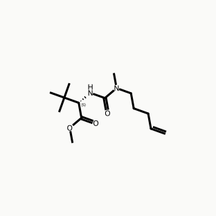 C=CCCCN(C)C(=O)N[C@H](C(=O)OC)C(C)(C)C